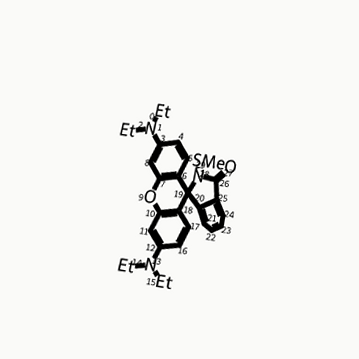 CCN(CC)c1ccc2c(c1)Oc1cc(N(CC)CC)ccc1C21c2ccccc2C(=O)N1SC